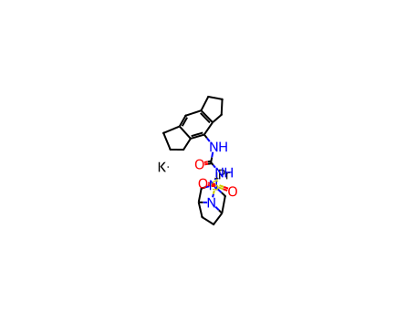 CC(C)N1CC2CCC(C1)N2S(=O)(=O)NC(=O)Nc1c2c(cc3c1CCC3)CCC2.[K]